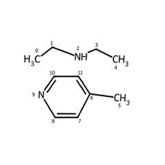 CCNCC.Cc1ccncc1